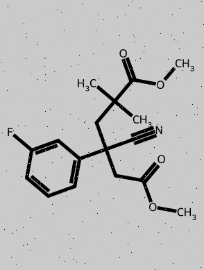 COC(=O)CC(C#N)(CC(C)(C)C(=O)OC)c1cccc(F)c1